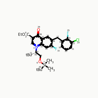 CCOC(=O)c1cn([C@H](CO[Si](C)(C)C(C)(C)C)C(C)(C)C)c2cc(F)c(Cc3cccc(Cl)c3F)cc2c1=O